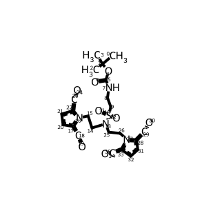 CC(C)(C)OC(=O)NCCS(=O)(=O)N(CCn1c(=C=O)ccc1=C=O)CCn1c(=C=O)ccc1=C=O